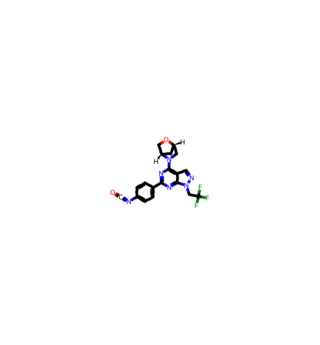 O=C=Nc1ccc(-c2nc(N3C[C@@H]4C[C@H]3CO4)c3cnn(CC(F)(F)F)c3n2)cc1